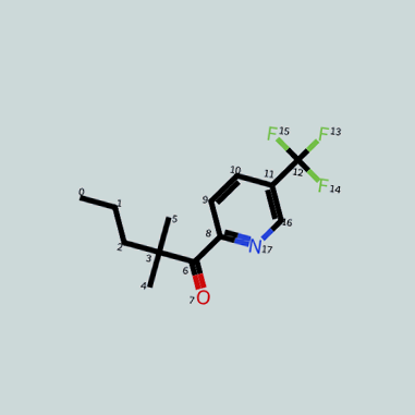 CCCC(C)(C)C(=O)c1ccc(C(F)(F)F)cn1